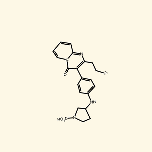 CC(C)CCc1nc2ccccn2c(=O)c1-c1ccc(NC2CCN(C(=O)O)C2)cc1